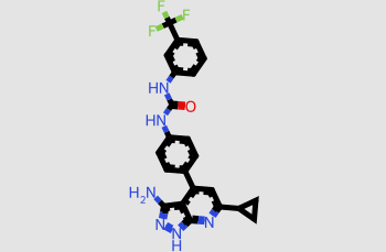 Nc1n[nH]c2nc(C3CC3)cc(-c3ccc(NC(=O)Nc4cccc(C(F)(F)F)c4)cc3)c12